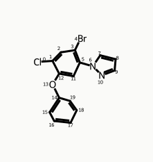 Clc1cc(Br)c(-n2cccn2)cc1Oc1ccccc1